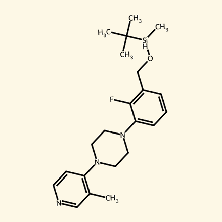 Cc1cnccc1N1CCN(c2cccc(CO[SiH](C)C(C)(C)C)c2F)CC1